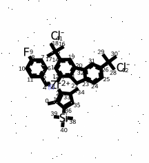 CC1=[C](/[Zr+2](=[CH]/c2ccc(F)cc2)[c]2cc(C(C)(C)C)cc3c2Cc2ccc(C(C)(C)C)cc2-3)C(C)C=C1[Si](C)(C)C.[Cl-].[Cl-]